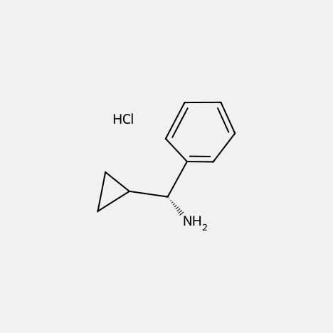 Cl.N[C@@H](c1ccccc1)C1CC1